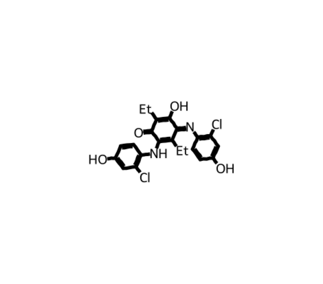 CCC1=C(O)/C(=N/c2ccc(O)cc2Cl)C(CC)=C(Nc2ccc(O)cc2Cl)C1=O